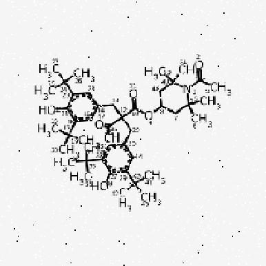 CC(=O)N1C(C)(C)CC(OC(=O)C(Cc2cc(C(C)(C)C)c(O)c(C(C)(C)C)c2)(Cc2cc(C(C)(C)C)c(O)c(C(C)(C)C)c2)C(C)=O)CC1(C)C